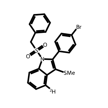 [2H]c1cccc2c1c(SC)c(-c1ccc(Br)cc1)n2S(=O)(=O)Cc1ccccc1